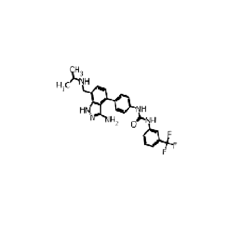 CC(C)NCc1ccc(-c2ccc(NC(=O)Nc3cccc(C(F)(F)F)c3)cc2)c2c(N)n[nH]c12